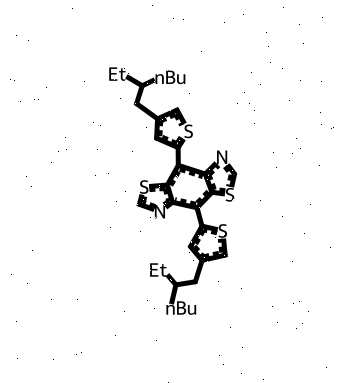 CCCCC(CC)Cc1csc(-c2c3ncsc3c(-c3cc(CC(CC)CCCC)cs3)c3ncsc23)c1